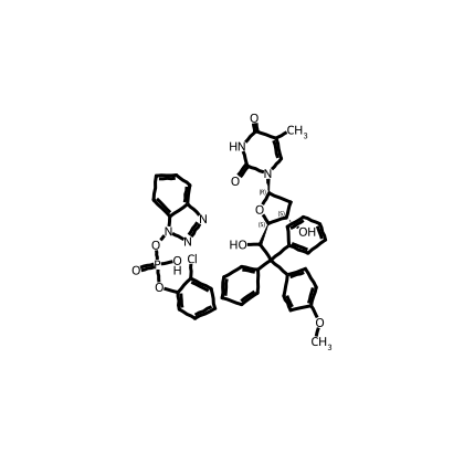 COc1ccc(C(c2ccccc2)(c2ccccc2)C(O)[C@H]2O[C@@H](n3cc(C)c(=O)[nH]c3=O)C[C@@H]2O)cc1.O=P(O)(Oc1ccccc1Cl)On1nnc2ccccc21